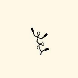 C#CCP(=O)(CC#C)CC(=O)OC(C)C#C